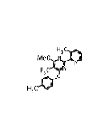 COc1nc(-c2ncccc2C)nc(Sc2ccc(C)cc2)c1C(F)(F)F